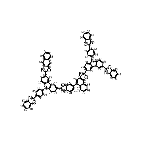 c1ccc2cc3oc(-c4ccc5c(c4)c4cc(-c6nc7ccc(-c8cc9nc(-c%10ccc%11c(c%10)c%10cc(-c%12nc%13ccccc%13o%12)ccc%10n%11-c%10ccc(-c%11nc%12ccccc%12o%11)cc%10)oc9c9ccccc89)cc7o6)ccc4n5-c4ccc(-c5nc6ccccc6o5)cc4)nc3cc2c1